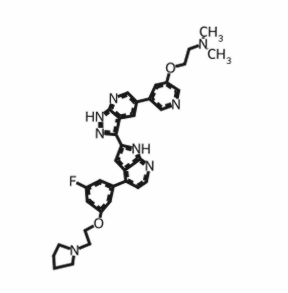 CN(C)CCOc1cncc(-c2cnc3[nH]nc(-c4cc5c(-c6cc(F)cc(OCCN7CCCC7)c6)ccnc5[nH]4)c3c2)c1